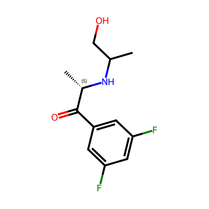 CC(CO)N[C@@H](C)C(=O)c1cc(F)cc(F)c1